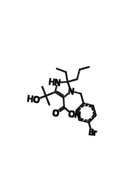 CCCC1(CC)NC(C(C)(C)O)=C(C(=O)O)N1Cc1ccc(Br)cc1